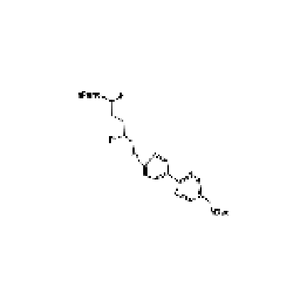 CCCCCCCCCCCc1cnc(-c2ccc(OCC(F)CCC(F)CCCCC)cc2)nc1